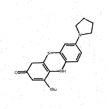 CC(C)(C)C1=CC(=O)CC2=C1Nc1ccc(N3CCCC3)cc1S2